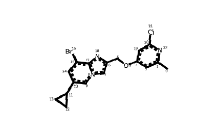 Cc1cc(OCc2cn3cc(C4CC4)cc(Br)c3n2)cc(Cl)n1